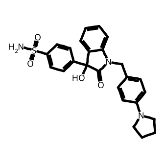 NS(=O)(=O)c1ccc(C2(O)C(=O)N(Cc3ccc(N4CCCC4)cc3)c3ccccc32)cc1